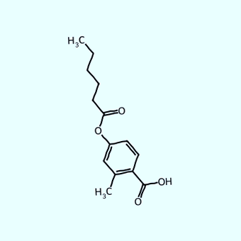 CCCCCC(=O)Oc1ccc(C(=O)O)c(C)c1